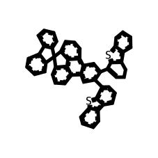 C1=C(c2cc3c(cc2-c2cccc4c2sc2ccccc24)c2cccc4c2c2c(cccc32)C42c3ccccc3-c3ccccc32)c2sc3ccccc3c2CC1